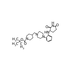 CC(C)(C)OC(=O)N1CCC(CN2CCN(c3ccccc3NC3CCC(=O)NC3=O)CC2)CC1